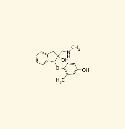 CNCC1(O)Cc2ccccc2C1Oc1ccc(O)cc1C